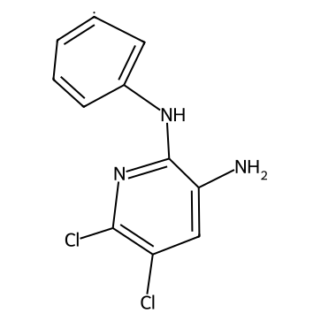 Nc1cc(Cl)c(Cl)nc1Nc1c[c]ccc1